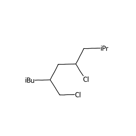 CCC(C)C(CCl)CC(Cl)CC(C)C